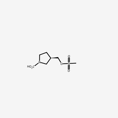 CS(=O)(=O)OC[C@@H]1CCN(C(=O)O)C1